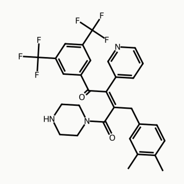 Cc1ccc(CC(C(=O)N2CCNCC2)=C(C(=O)c2cc(C(F)(F)F)cc(C(F)(F)F)c2)c2cccnc2)cc1C